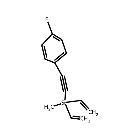 C=C[Si](C)(C#Cc1ccc(F)cc1)C=C